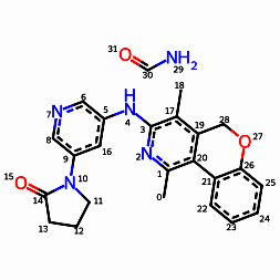 Cc1nc(Nc2cncc(N3CCCC3=O)c2)c(C)c2c1-c1ccccc1OC2.NC=O